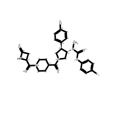 CN(C(=O)Oc1ccc(F)cc1)[C@@H]1CN(C(=O)C2CCN(C(=O)C3CC(=O)N3)CC2)C[C@H]1c1ccc(Cl)cc1